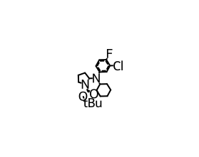 CC(C)(C)OC(=O)N1CCCC1N(c1ccc(F)c(Cl)c1)C1CCCCC1